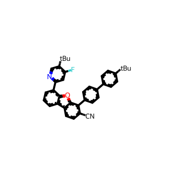 CC(C)(C)c1ccc(-c2ccc(-c3c(C#N)ccc4c3oc3c(-c5cc(F)c(C(C)(C)C)cn5)cccc34)cc2)cc1